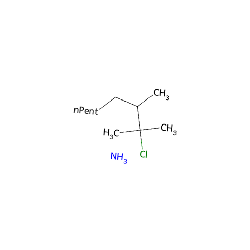 CCCCCCC(C)C(C)(C)Cl.N